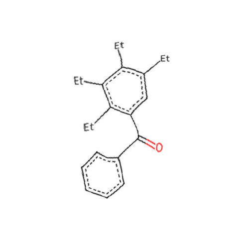 CCc1cc(C(=O)c2ccccc2)c(CC)c(CC)c1CC